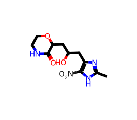 Cc1nc(CC(O)CC2OCCNC2=O)c([N+](=O)[O-])[nH]1